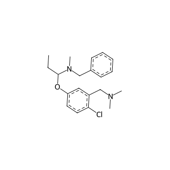 CCC(Oc1ccc(Cl)c(CN(C)C)c1)N(C)Cc1ccccc1